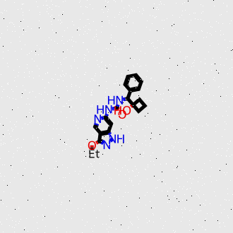 CCOc1n[nH]c2cc(NC(=O)NC(c3ccccc3)C3(O)CCC3)ncc12